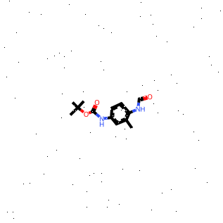 Cc1cc(NC(=O)OC(C)(C)C)ccc1NC=O